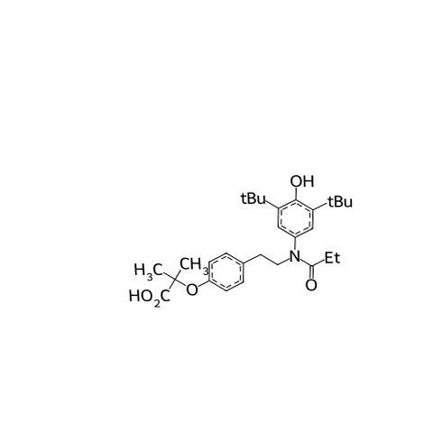 CCC(=O)N(CCc1ccc(OC(C)(C)C(=O)O)cc1)c1cc(C(C)(C)C)c(O)c(C(C)(C)C)c1